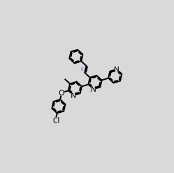 Cc1cc(-c2ncc(-c3cccnc3)cc2/C=C/c2ccccc2)cnc1Oc1ccc(Cl)cc1